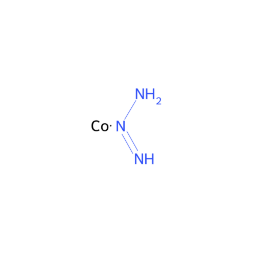 N=NN.[Co]